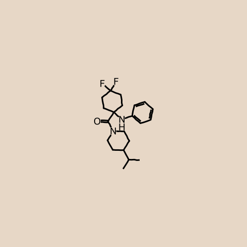 CC(C)C1CCN(C(=O)C2(Nc3ccccc3)CCC(F)(F)CC2)CC1